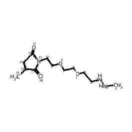 CNNCCOCCOCCN1C(=O)CC(C)C1=O